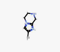 CCc1cn2c(n1)CNCC2